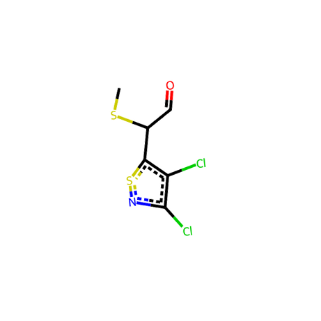 CSC(C=O)c1snc(Cl)c1Cl